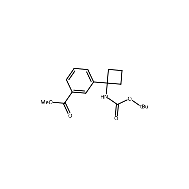 COC(=O)c1cccc(C2(NC(=O)OC(C)(C)C)CCC2)c1